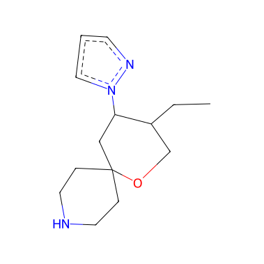 CCC1COC2(CCNCC2)CC1n1cccn1